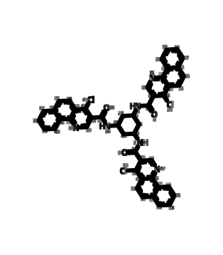 O=C(NC1CC(NC(=O)c2cnc3c(ccc4ccccc43)c2Cl)CC(NC(=O)c2cnc3c(ccc4ccccc43)c2Cl)C1)c1cnc2c(ccc3ccccc32)c1Cl